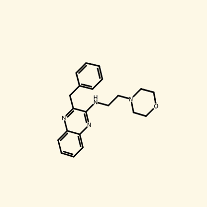 c1ccc(Cc2nc3ccccc3nc2NCCN2CCOCC2)cc1